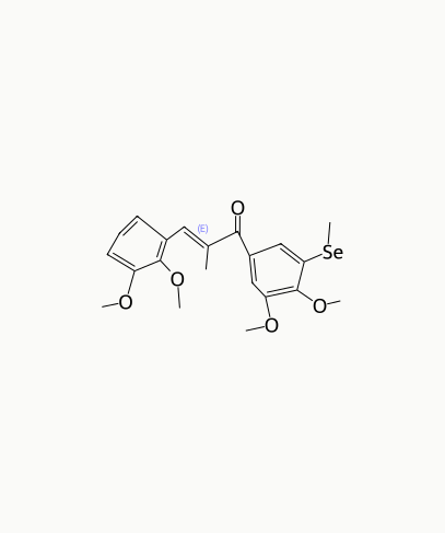 COc1cccc(/C=C(\C)C(=O)c2cc(OC)c(OC)c([Se]C)c2)c1OC